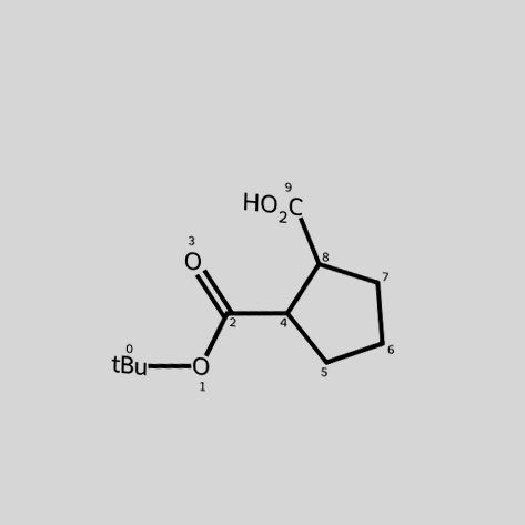 CC(C)(C)OC(=O)C1CCCC1C(=O)O